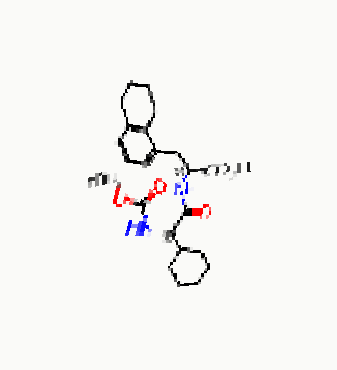 CC(C)(C)OC(=O)N[C@H](C(=O)N[C@@H](Cc1cccc2c1CCCC2)C(=O)O)C1CCCCC1